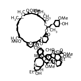 CC[C@]1(O)C[C@H]2C[N@](CCc3c([nH]c4ccccc34)[C@@](C(=O)OC)(c3cc4c(cc3OC)N(C=O)[C@H]3[C@@](O)(C(=O)OC)[C@H](OC(C)=O)[C@]5(CC)C=CCN6CC[C@]43[C@@H]65)C2)C1.CO[C@H]1C[C@@H]2CC[C@@H](C)[C@@](O)(O2)C(=O)C(=O)N2CCCC[C@H]2C(=O)O[C@H]([C@H](C)C[C@@H]2CC[C@@H](O)[C@H](OC)C2)CC(=O)[C@H](C)/C=C(\C)[C@@H](O)[C@@H](OC)C(=O)[C@H](C)C[C@H](C)/C=C/C=C/C=C/1C